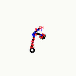 O=C(CCN(Cc1cn(CCOCCOCCOCC(=O)OC2CCCCCCCCCC2)nn1)C(=O)CCCCCN1C(=O)[C@@H]2[C@H](C1=O)[C@H]1C=C[C@@H]2C1)NCCO